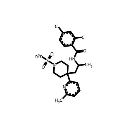 CCCS(=O)(=O)N1CCC(CC(C)NC(=O)c2ccc(Cl)cc2Cl)(c2cccc(C)n2)CC1